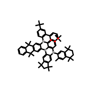 Cc1cc2c(cc1N1c3cc4c(cc3B3c5cc6c(cc5N(c5ccc(C(C)(C)C)cc5-c5ccccc5)c5cc(C(C)(C)C)cc1c53)C(C)(C)c1ccccc1C6(C)C)C(C)(C)CC4(C)C)C(C)(C)CCC2(C)C